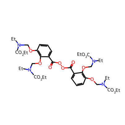 CCOC(=O)N(CC)COc1cccc(C(=O)OOC(=O)c2cccc(OCN(CC)C(=O)OCC)c2OCN(CC)C(=O)OCC)c1OCN(CC)C(=O)OCC